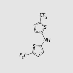 FC(F)(F)c1ccc(Nc2ccc(C(F)(F)F)s2)s1